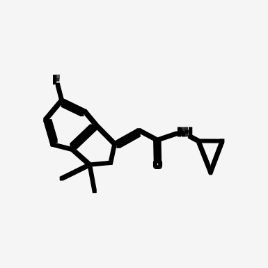 CC1(C)C/C(=C\C(=O)NC2CC2)c2cc(F)ccc21